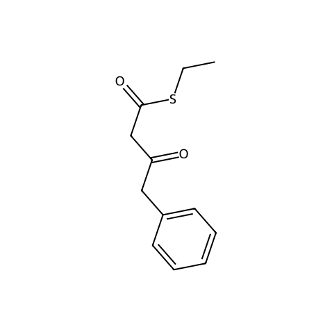 CCSC(=O)CC(=O)Cc1ccccc1